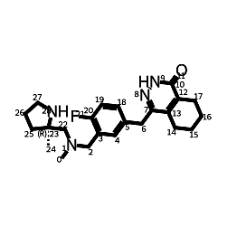 CN(Cc1cc(Cc2n[nH]c(=O)c3c2CCCC3)ccc1F)C[C@@]1(C)CCCN1